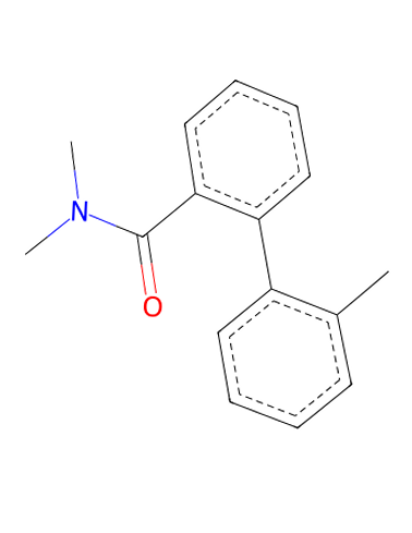 Cc1ccccc1-c1ccccc1C(=O)N(C)C